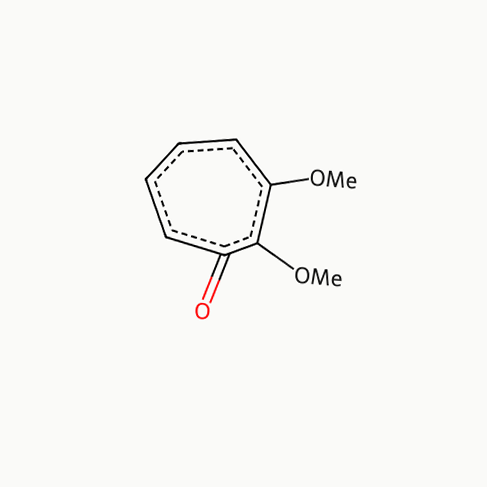 COc1ccccc(=O)c1OC